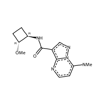 CNc1ccnc2c(C(=O)N[C@@H]3CC[C@H]3OC)cnn12